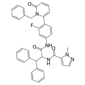 Cn1nccc1C(=O)NC(C(=O)Nc1ccc(-c2cccc(=O)n2Cc2ccccc2)c(F)c1)C(c1ccccc1)c1ccccc1